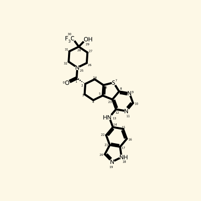 O=C([C@H]1CCc2c(sc3ncnc(Nc4ccc5[nH]ncc5c4)c23)C1)N1CCC(O)(C(F)(F)F)CC1